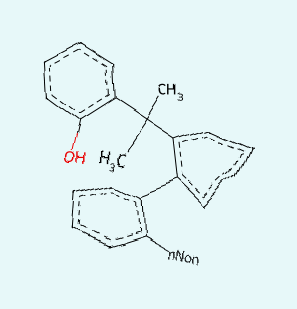 CCCCCCCCCc1ccccc1-c1ccccc1C(C)(C)c1ccccc1O